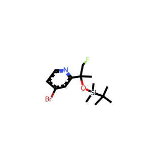 CC(CF)(O[Si](C)(C)C(C)(C)C)c1cc(Br)ccn1